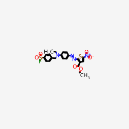 CCOC(=O)c1cc([N+](=O)[O-])sc1N=Nc1ccc(N(CC)Cc2ccc(S(=O)(=O)F)cc2)cc1